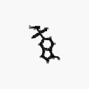 CNS(=O)(=O)c1ccc2c(cnn2C)c1